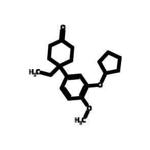 CCC1(c2ccc(OC)c(OC3CCCC3)c2)CCC(=O)CC1